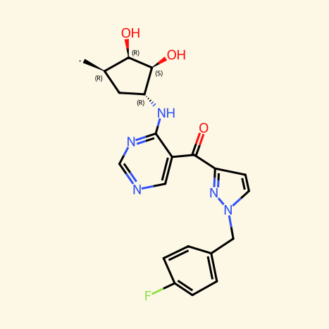 [CH2][C@@H]1C[C@@H](Nc2ncncc2C(=O)c2ccn(Cc3ccc(F)cc3)n2)[C@H](O)[C@@H]1O